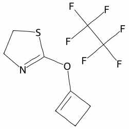 C1=C(OC2=NCCS2)CC1.FC(F)(F)C(F)(F)F